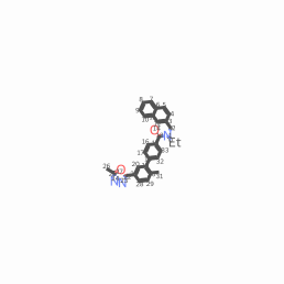 CCN(Cc1ccc2ccccc2c1)C(=O)c1ccc(-c2cc(-c3nnc(C)o3)ccc2C)cc1